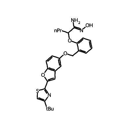 CCCC(Oc1ccccc1COc1ccc2oc(-c3nc(C(C)(C)C)cs3)cc2c1)C(N)=NO